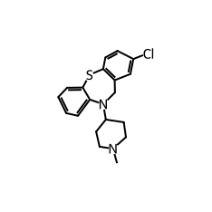 CN1CCC(N2Cc3cc(Cl)ccc3Sc3ccccc32)CC1